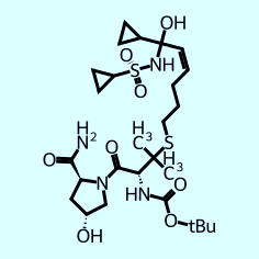 CC(C)(C)OC(=O)N[C@H](C(=O)N1C[C@H](O)C[C@H]1C(N)=O)C(C)(C)SCCC/C=C\C(O)(NS(=O)(=O)C1CC1)C1CC1